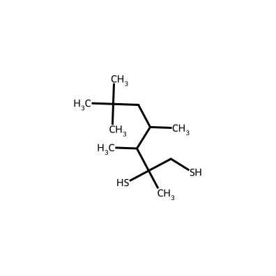 CC(CC(C)(C)C)C(C)C(C)(S)CS